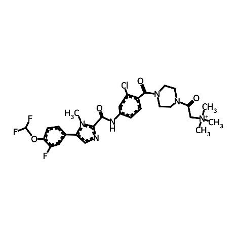 Cn1c(-c2ccc(OC(F)F)c(F)c2)cnc1C(=O)Nc1ccc(C(=O)N2CCN(C(=O)C[N+](C)(C)C)CC2)c(Cl)c1